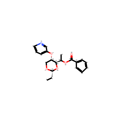 CC[C@@H]1OC[C@H](Oc2cccnc2)[C@@H](C(C)OC(=O)c2ccccc2)O1